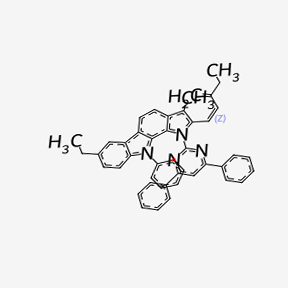 C=C(/C=C\c1c(C)c2ccc3c4cc(CC)ccc4n(-c4ccccc4)c3c2n1-c1nc(-c2ccccc2)cc(-c2ccccc2)n1)CC